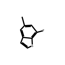 Cc1cc(F)c2sccc2c1